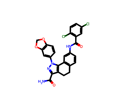 NC(=O)c1nn(-c2ccc3c(c2)OCO3)c2c1CCc1ccc(NC(=O)c3cc(Cl)ccc3Cl)cc1-2